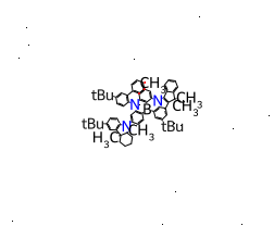 Cc1cc2c3c(c1)-n1c4c(c5cc(C(C)(C)C)cc(c51)B3c1ccc(N3c5ccc(C(C)(C)C)cc5C5(C)CCCCC35C)cc1N2c1ccc(C(C)(C)C)cc1-c1ccccc1)C(C)(C)c1ccccc1-4